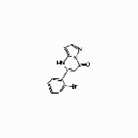 O=c1cc(-c2ccccc2Br)[nH]c2ccnn12